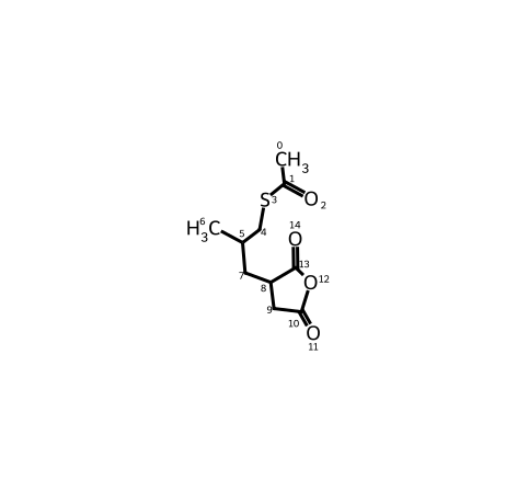 CC(=O)SCC(C)CC1CC(=O)OC1=O